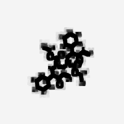 C=CC(=O)C(CN(CN(CC(C(=O)C=C)C1CCCCC1)C(=O)OCC)C(=O)OCC)C1CCCCC1